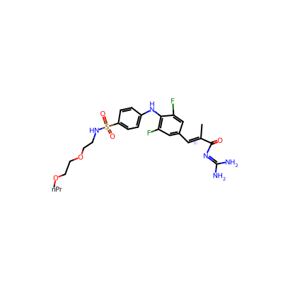 CCCOCCOCCNS(=O)(=O)c1ccc(Nc2c(F)cc(/C=C(\C)C(=O)N=C(N)N)cc2F)cc1